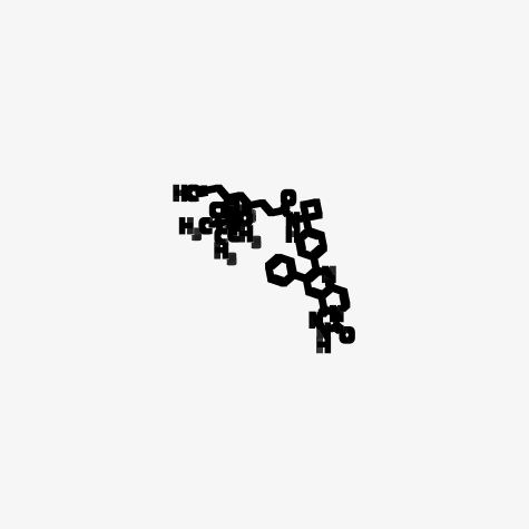 C#CCCCC(CCC(=O)NC1(c2ccc(-c3nc4ccn5c(=O)[nH]nc5c4cc3-c3ccccc3)cc2)CCC1)O[Si](C)(C)C(C)(C)C